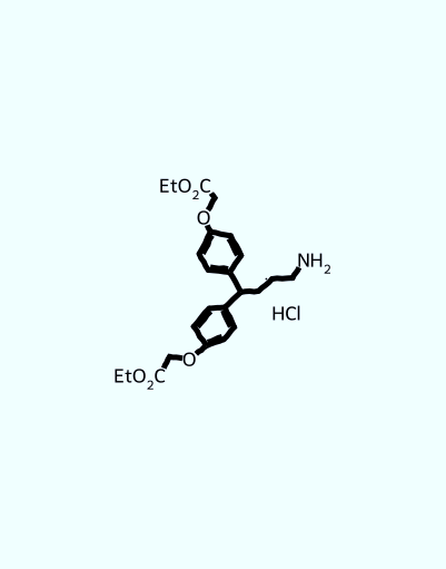 CCOC(=O)COc1ccc(C(C[CH]CN)c2ccc(OCC(=O)OCC)cc2)cc1.Cl